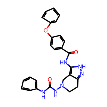 O=C(Nc1ccccc1)NN1CCc2n[nH]c(NC(=O)c3ccc(Oc4ccccc4)cc3)c2C1